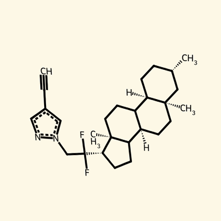 C#Cc1cnn(CC(F)(F)[C@H]2CCC3[C@@H]4CC[C@]5(C)C[C@@H](C)CC[C@@H]5C4CC[C@@]32C)c1